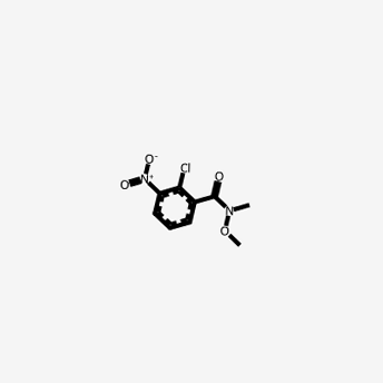 CON(C)C(=O)c1cccc([N+](=O)[O-])c1Cl